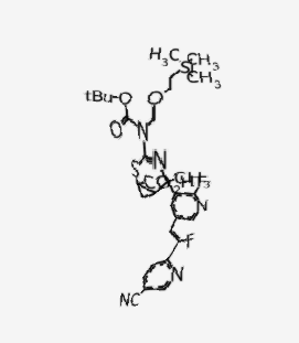 CC(C)(C)OC(=O)N(COCC[Si](C)(C)C)C1=N[C@](C)(c2cc(/C=C(\F)c3ccc(C#N)cn3)cnc2F)C2C[C@]2(C(=O)O)S1